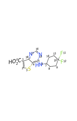 O=C(O)c1csc2c(NC3CCC(F)(F)CC3)ncnc12